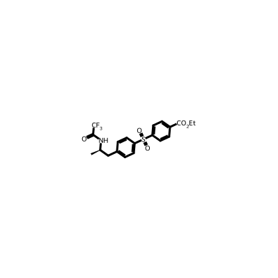 CCOC(=O)c1ccc(S(=O)(=O)c2ccc(C[C@@H](C)NC(=O)C(F)(F)F)cc2)cc1